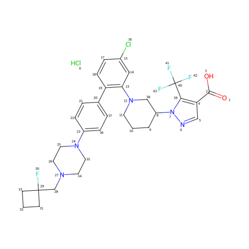 Cl.O=C(O)c1cnn(C2CCCN(c3cc(Cl)ccc3-c3ccc(N4CCN(CC5(F)CCC5)CC4)cc3)C2)c1C(F)(F)F